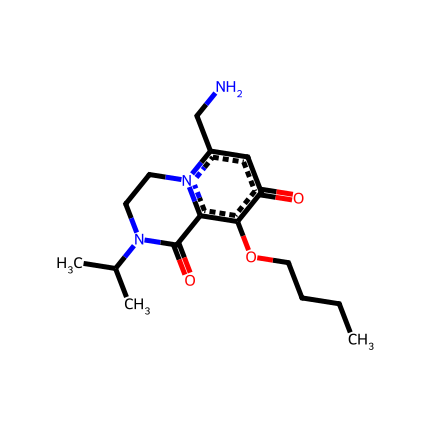 CCCCOc1c2n(c(CN)cc1=O)CCN(C(C)C)C2=O